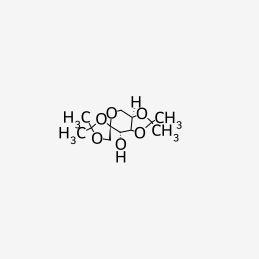 CC1(C)OC2[C@@H](CO[C@]3(COC(C)(C)O3)[C@H]2O)O1